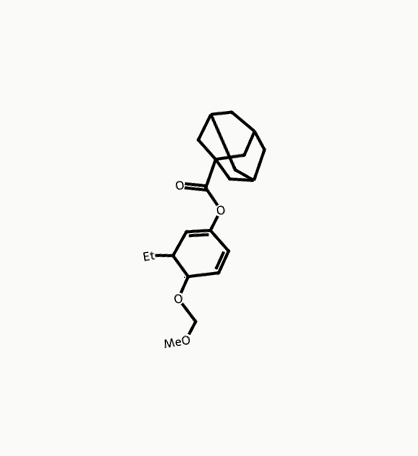 CCC1C=C(OC(=O)C23CC4CC(CC(C4)C2)C3)C=C[C]1OCOC